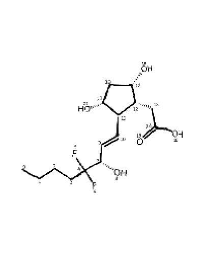 CCCCC(F)(F)[C@@H](O)C=C[C@@H]1[C@@H](CC(=O)O)[C@@H](O)C[C@H]1O